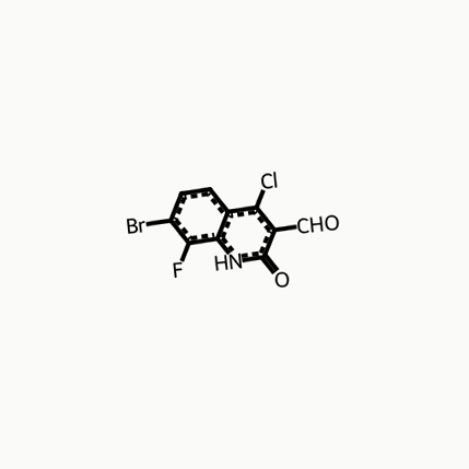 O=Cc1c(Cl)c2ccc(Br)c(F)c2[nH]c1=O